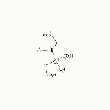 CCCCCCCCN(O)[C@@](O)(CC(=O)O)C(=O)O